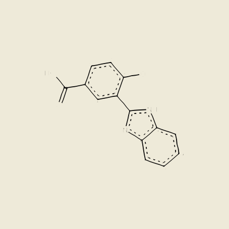 O=C(O)c1ccc(O)c(-c2nc3ccccc3[nH]2)c1